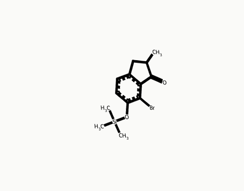 CC1Cc2ccc(O[Si](C)(C)C)c(Br)c2C1=O